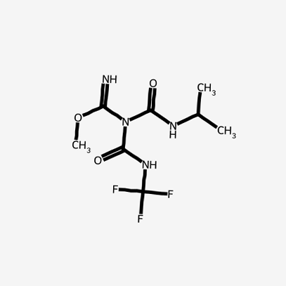 COC(=N)N(C(=O)NC(C)C)C(=O)NC(F)(F)F